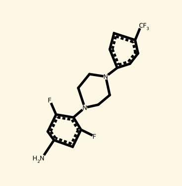 Nc1cc(F)c(N2CCN(c3ccc(C(F)(F)F)cc3)CC2)c(F)c1